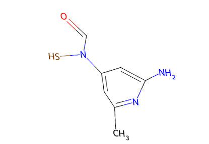 Cc1cc(N(S)C=O)cc(N)n1